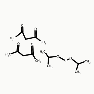 CC(=O)CC(C)=O.CC(=O)CC(C)=O.CC(C)[O][Ti][O]C(C)C